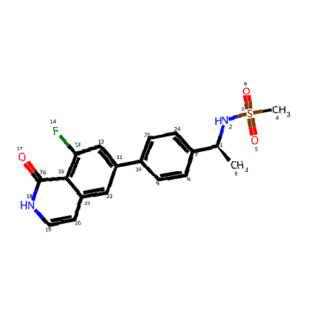 C[C@H](NS(C)(=O)=O)c1ccc(-c2cc(F)c3c(=O)[nH]ccc3c2)cc1